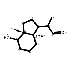 CC(C=O)C1CC[C@H]2C(O)CCC[C@]12C